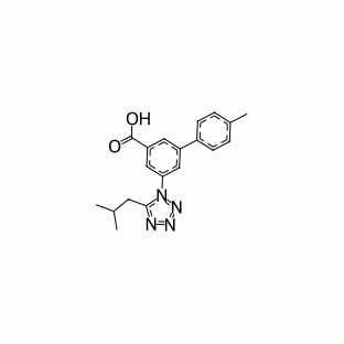 Cc1ccc(-c2cc(C(=O)O)cc(-n3nnnc3CC(C)C)c2)cc1